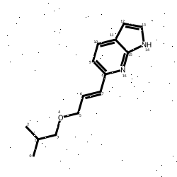 CC(C)COC/C=C/c1ccc2cc[nH]c2n1